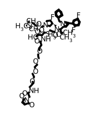 CC(C)(C)C(c1cc(-c2cc(F)ccc2F)cn1Cc1ccccc1)N(C[C@@H]1CN(C(=O)OCC[Si](C)(C)C)C[C@@H]1F)C(=O)CSCC(NC(=O)CCOCCOCCOCCOCCNC(=O)CN1C(=O)C=CC1=O)C(=O)O